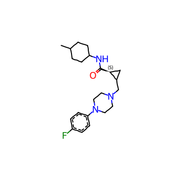 CC1CCC(NC(=O)[C@H]2CC2CN2CCN(c3ccc(F)cc3)CC2)CC1